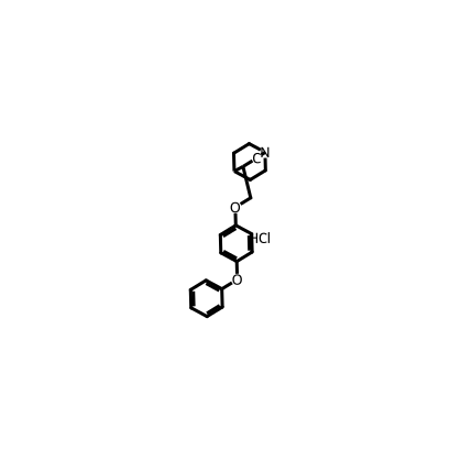 Cl.c1ccc(Oc2ccc(OCC3CN4CCC3CC4)cc2)cc1